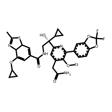 CCOc1c(CC(N)=O)cc([C@@](O)(CNC(=O)C2=CC3SC(C)=NC3C(OC3CC3)=C2)C2CC2)nc1-c1ccc2c(c1)OC(F)(F)O2